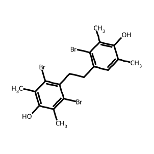 Cc1cc(CCc2c(Br)c(C)c(O)c(C)c2Br)c(Br)c(C)c1O